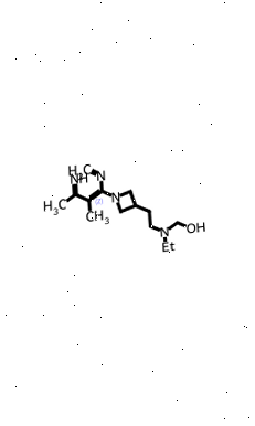 C=N/C(=C(/C)C(C)=N)N1CC(CCN(CC)CO)C1